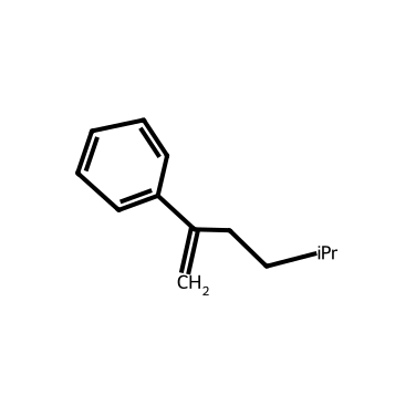 C=C(CCC(C)C)c1ccccc1